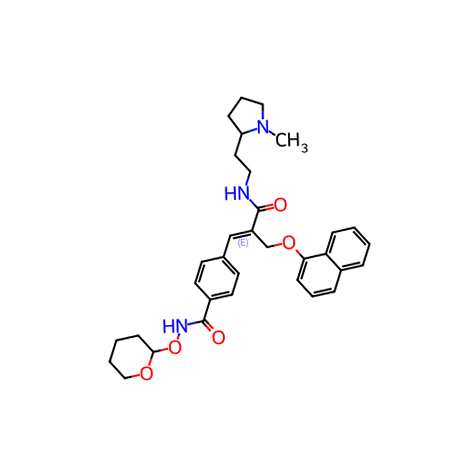 CN1CCCC1CCNC(=O)/C(=C/c1ccc(C(=O)NOC2CCCCO2)cc1)COc1cccc2ccccc12